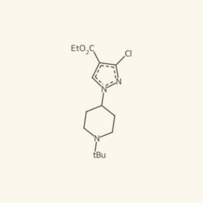 CCOC(=O)c1cn(C2CCN(C(C)(C)C)CC2)nc1Cl